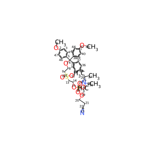 COc1ccc(C(OCCS(=O)(=O)CCOP(=O)(OOCCC#N)ON(C(C)C)C(C)C)(c2ccccc2)c2ccc(OC)cc2)cc1